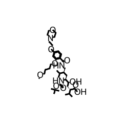 COCCCCOc1cc(OCCN2CCOCC2)ccc1C(=O)NC[C@@H](C[C@H](NC(=O)OC(C)(C)C)[C@@H](O)C[C@H](C(=O)O)C(C)C)C(C)C